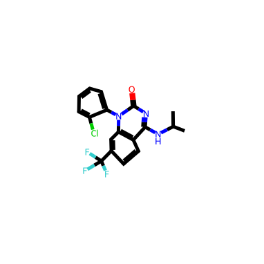 CC(C)Nc1nc(=O)n(-c2ccccc2Cl)c2cc(C(F)(F)F)ccc12